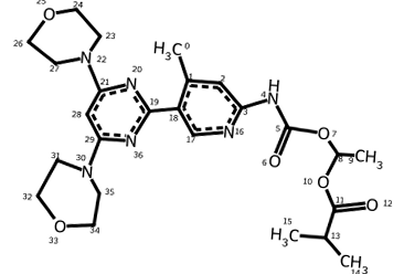 Cc1cc(NC(=O)OC(C)OC(=O)C(C)C)ncc1-c1nc(N2CCOCC2)cc(N2CCOCC2)n1